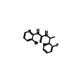 CC(NC(=S)Nc1ncccc1Br)c1ncccc1F